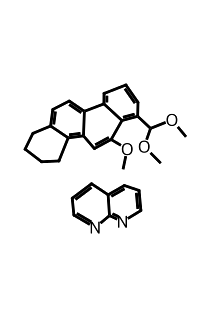 COc1cc2c3c(ccc2c2cccc(C(OC)OC)c12)CCCC3.c1cnc2ncccc2c1